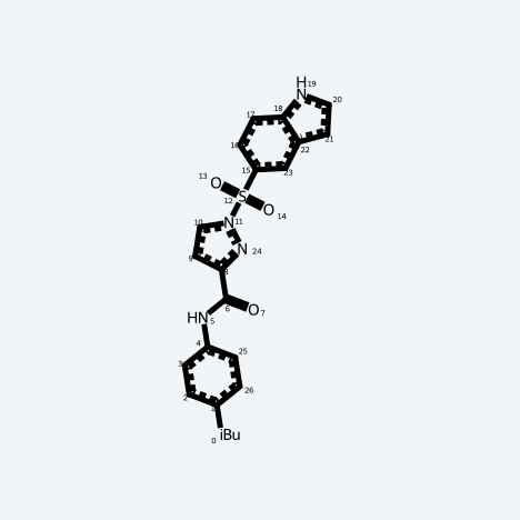 CCC(C)c1ccc(NC(=O)c2ccn(S(=O)(=O)c3ccc4[nH]ccc4c3)n2)cc1